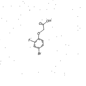 O=C(O)COc1ccc(Br)cc1F